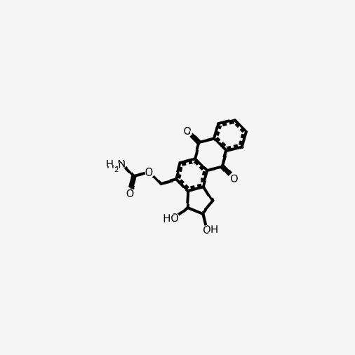 NC(=O)OCc1cc2c(c3c1C(O)C(O)C3)C(=O)c1ccccc1C2=O